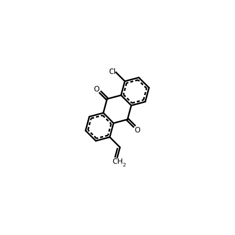 C=Cc1cccc2c1C(=O)c1cccc(Cl)c1C2=O